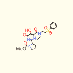 COC(=O)N1CCCC1c1nc(=O)c(O)c2n1CCN(CCS(=O)(=O)c1ccccc1)C2=O